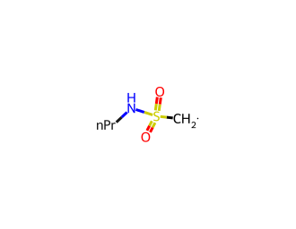 [CH2]S(=O)(=O)NCCC